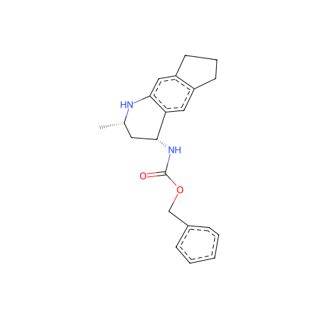 C[C@H]1C[C@@H](NC(=O)OCc2ccccc2)c2cc3c(cc2N1)CCC3